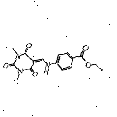 CCOC(=O)c1ccc(NC=C2C(=O)N(C)C(=O)N(C)C2=O)cc1